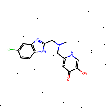 CN(Cc1cc(=O)c(O)c[nH]1)Cc1nc2cc(Cl)ccc2[nH]1